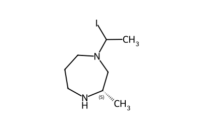 CC(I)N1CCCN[C@@H](C)C1